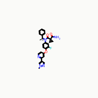 C[C@@H](c1ccccc1)N(C(=O)C1(C(N)=O)CC1)c1ccc(Oc2ccnc(-c3cnn(C)c3)c2)c(F)c1